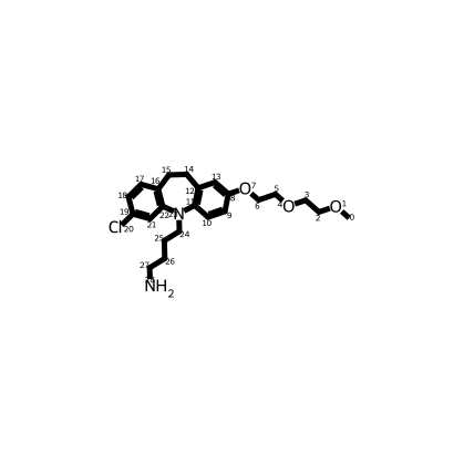 COCCOCCOc1ccc2c(c1)CCc1ccc(Cl)cc1N2CCCCN